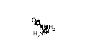 COc1ccc(NN=C2C(N)=NN=C2N)cc1